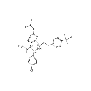 CNC(=O)[C@H](N[C@H](CCc1ccc(C(F)(F)F)nc1)c1cccc(OC(F)F)c1)c1ccc(Cl)cc1